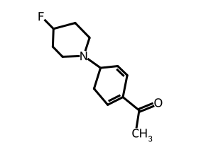 CC(=O)C1=CCC(N2CCC(F)CC2)C=C1